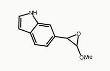 COC1OC1c1ccc2cc[nH]c2c1